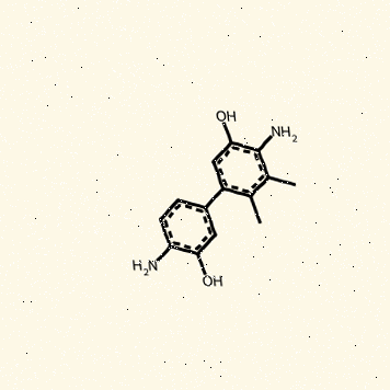 Cc1c(-c2ccc(N)c(O)c2)cc(O)c(N)c1C